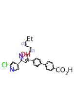 C=C(/C=C\C=C/CC)[C@H](C/C(=N\O)c1ccnc(Cl)c1)c1ccc(-c2ccc(C(=O)O)cc2)cc1